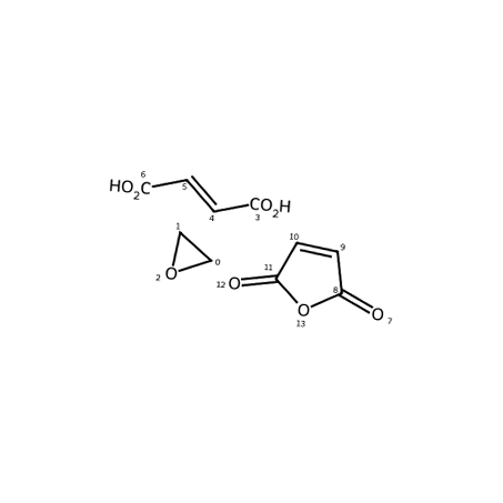 C1CO1.O=C(O)C=CC(=O)O.O=C1C=CC(=O)O1